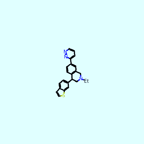 CCN1Cc2cc(-c3cccnn3)ccc2C(c2ccc3ccsc3c2)C1